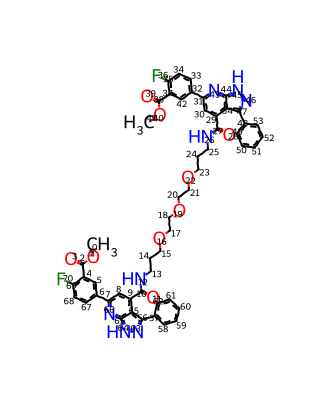 COC(=O)c1cc(-c2cc(C(=O)NCCCOCCOCCOCCCNC(=O)c3cc(-c4ccc(F)c(C(=O)OC)c4)nc4[nH]nc(-c5ccccc5)c34)c3c(-c4ccccc4)n[nH]c3n2)ccc1F